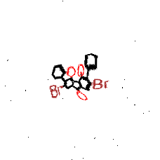 O=C1c2cc(Br)c3c(oc4ccccc43)c2-c2c1cc(Br)c1c2oc2ccccc21